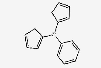 C1=CC[C]([Zr]([C]2=CC=CC2)[c]2ccccc2)=C1